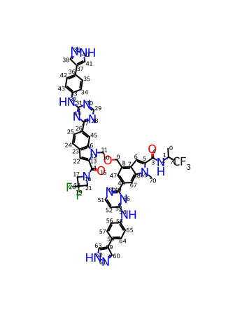 CC(NC(=O)c1cc2c(COCn3c(C(=O)N4CC(F)(F)C4)cc4ccc(-c5ncnc(Nc6ccc(-c7cn[nH]c7)cc6)n5)cc43)cc(-c3nccc(Nc4ccc(-c5cn[nH]c5)cc4)n3)cc2n1C)C(F)(F)F